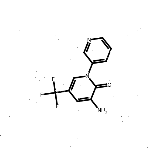 Nc1cc(C(F)(F)F)cn(-c2cccnc2)c1=O